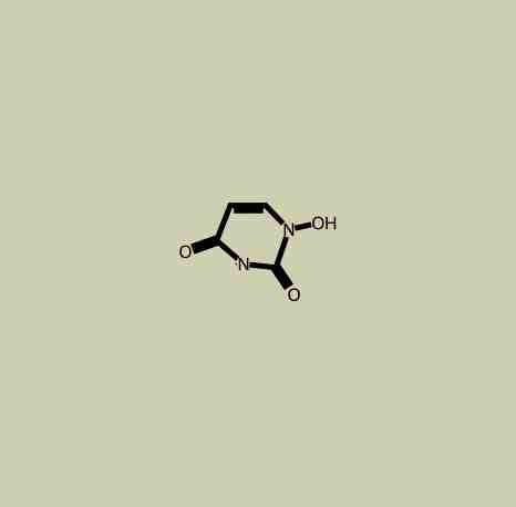 O=C1C=CN(O)C(=O)[N]1